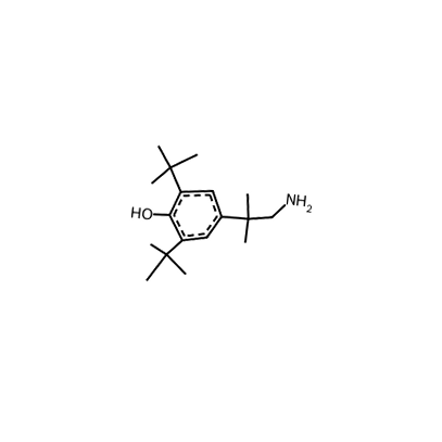 CC(C)(C)c1cc(C(C)(C)CN)cc(C(C)(C)C)c1O